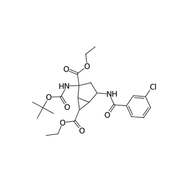 CCOC(=O)C1C2C(NC(=O)c3cccc(Cl)c3)CC(NC(=O)OC(C)(C)C)(C(=O)OCC)C12